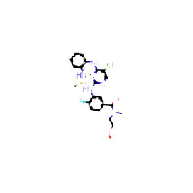 COCCN(C)C(=O)c1ccc(F)c(Nc2ncc(Cl)c(Nc3ccccc3NS(C)(=O)=O)n2)c1